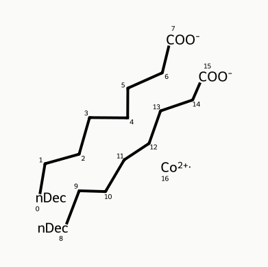 CCCCCCCCCCCCCCCCC(=O)[O-].CCCCCCCCCCCCCCCCC(=O)[O-].[Co+2]